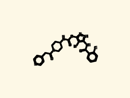 O=C(NC1CCN(C(=O)Cc2ccncc2)CC1)Oc1n[nH]c(NC(=O)c2ccccc2Cl)c1Br